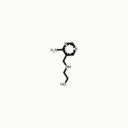 Nc1ncncc1CNCCO